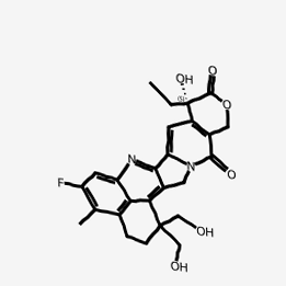 CC[C@@]1(O)C(=O)OCc2c1cc1n(c2=O)Cc2c-1nc1cc(F)c(C)c3c1c2C(CO)(CO)CC3